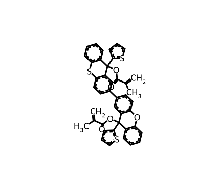 C=C(C)C(=O)OC1(c2cccs2)c2ccccc2Oc2ccc(-c3ccc4c(c3)C(OC(=O)C(=C)C)(c3cccs3)c3ccccc3S4)cc21